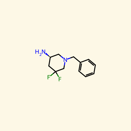 N[C@H]1CN(Cc2ccccc2)CC(F)(F)C1